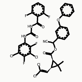 CC1(C)[C@H](C(=O)OC(C#N)c2cccc(Oc3ccccc3)c2)[C@@H]1C=C(Cl)Cl.O=C(NC(=O)c1c(F)cccc1F)Nc1cc(Cl)c(F)c(Cl)c1F